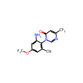 N#Cc1cc(OC(F)(F)F)cc(N)c1-n1cnc(C(F)(F)F)cc1=O